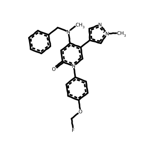 CN(Cc1ccccc1)c1cc(=O)n(-c2ccc(OCF)cc2)cc1-c1cnn(C)c1